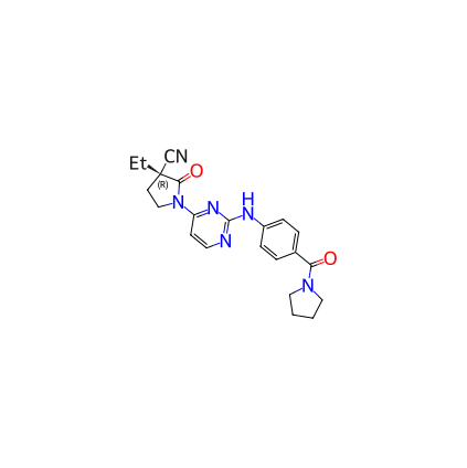 CC[C@]1(C#N)CCN(c2ccnc(Nc3ccc(C(=O)N4CCCC4)cc3)n2)C1=O